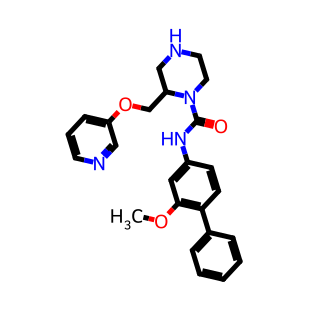 COc1cc(NC(=O)N2CCNCC2COc2cccnc2)ccc1-c1ccccc1